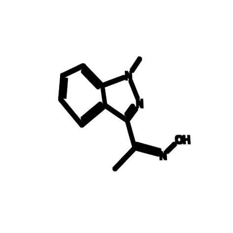 C/C(=N/O)c1nn(C)c2ccccc12